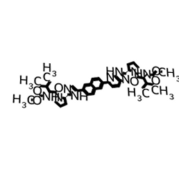 CCC(CC)[C@H](NC(=O)OC)C(=O)N1CCC[C@H]1c1ncc(-c2ccc3cc(-c4ccc5nc([C@@H]6CCCN6C(=O)[C@@H](NC(=O)OC)C(CC)CC)[nH]c5n4)ccc3c2)[nH]1